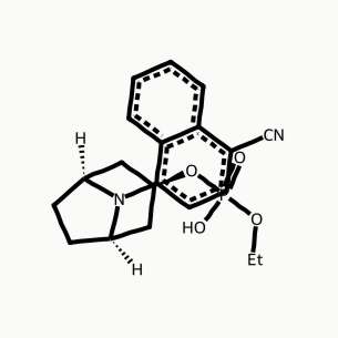 CCOP(=O)(O)O[C@H]1C[C@H]2CC[C@@H](C1)N2c1ccc(C#N)c2ccccc12